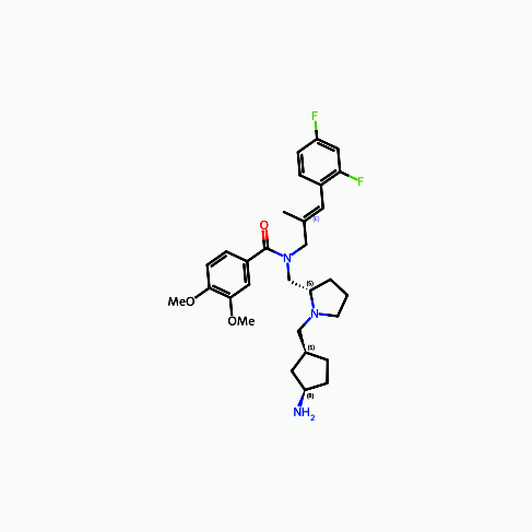 COc1ccc(C(=O)N(C/C(C)=C/c2ccc(F)cc2F)C[C@@H]2CCCN2C[C@H]2CC[C@@H](N)C2)cc1OC